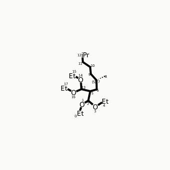 CCOC(OCC)C(C[C@@H](C)CCCC(C)C)C(OCC)OCC